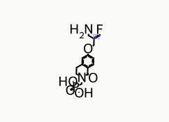 NC/C(=C\F)COc1ccc2c(c1)CCN(CP(=O)(O)O)C2=O